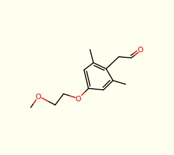 COCCOc1cc(C)c(CC=O)c(C)c1